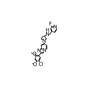 COc1cc(OC)c(-c2cn3ccc(N4CCC(NCc5ccnc(F)c5)C4)cc3n2)cc1Cl